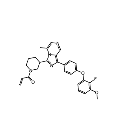 C=CC(=O)N1CCCC(c2nc(-c3ccc(Oc4cccc(OC)c4F)cc3)c3cncc(C)n23)C1